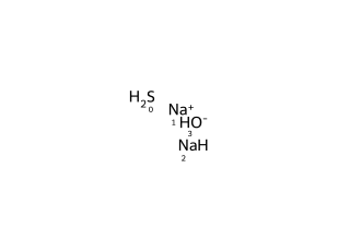 S.[Na+].[NaH].[OH-]